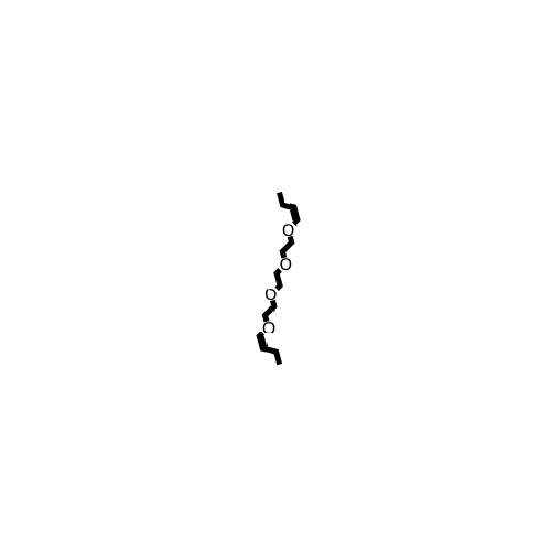 CC/C=C\OCCOCCOCCO/C=C\CC